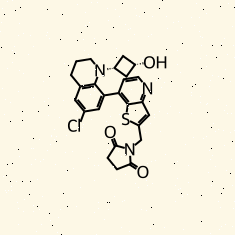 O=C1CCC(=O)N1Cc1cc2nccc(-c3cc(Cl)cc4c3N([C@H]3C[C@@H](O)C3)CCC4)c2s1